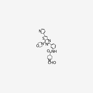 O=CN1CCC(C(=O)Nc2cccc(-c3nc(N4CCOCC4)c4sc(-c5cccnc5)cc4n3)c2)CC1